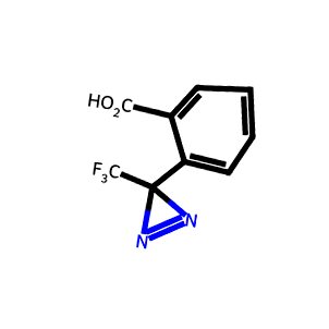 O=C(O)c1ccccc1C1(C(F)(F)F)N=N1